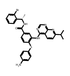 CC(C)c1ccc2c(Nc3cc(C(=O)N[C@@H](C)c4ccccc4Br)ccc3Sc3ccc(N)cc3)ncnc2n1